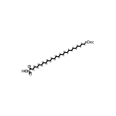 CCCCCCCCCCCCCCCCCCCCCCCCCCCCCCCCCCCC(=O)N(O)Cl